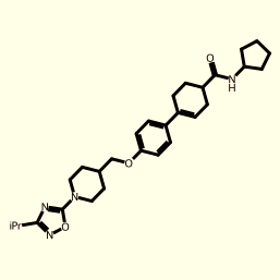 CC(C)c1noc(N2CCC(COc3ccc(C4=CCC(C(=O)NC5CCCC5)CC4)cc3)CC2)n1